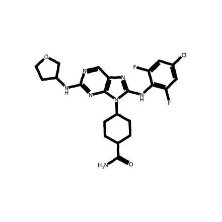 NC(=O)C1CCC(n2c(Nc3c(F)cc(Cl)cc3F)nc3cnc(NC4CCOC4)nc32)CC1